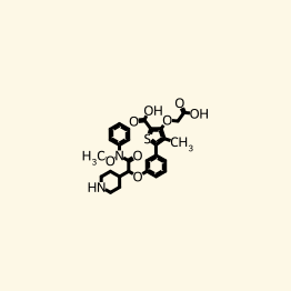 CON(C(=O)C(Oc1cccc(-c2sc(C(=O)O)c(OCC(=O)O)c2C)c1)C1CCNCC1)c1ccccc1